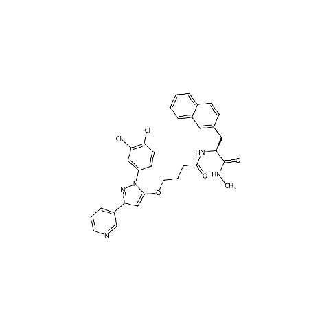 CNC(=O)[C@H](Cc1ccc2ccccc2c1)NC(=O)CCCOc1cc(-c2cccnc2)nn1-c1ccc(Cl)c(Cl)c1